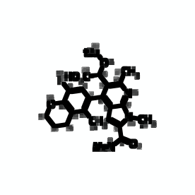 CNC(=O)c1cc2c(-c3cc(F)c4c(c3C)CCCO4)c([C@H](OC(C)(C)C)C(=O)O)c(C)nc2n1C